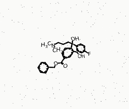 CN(C)CCCC(O)(c1ccc(F)cc1)c1ccc(C(=O)OCc2ccccc2)cc1CO